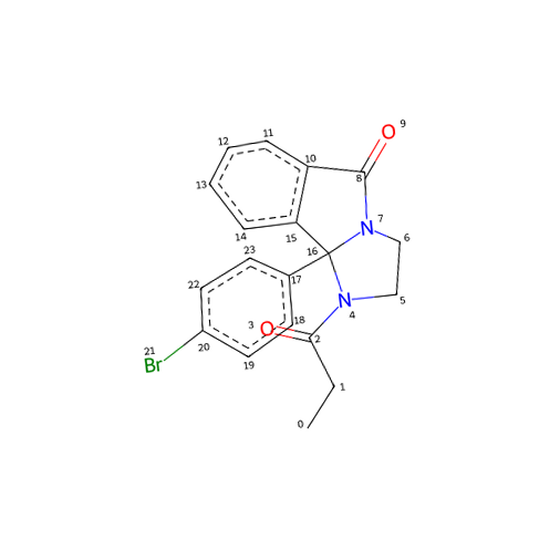 CCC(=O)N1CCN2C(=O)c3ccccc3C12c1ccc(Br)cc1